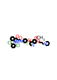 COc1cc2c(Oc3ccc(NC(=O)c4nn(-c5c(Cl)cccc5Cl)c5ccccc5c4=O)cc3F)ccnc2cc1OCCCN1CCCCC1